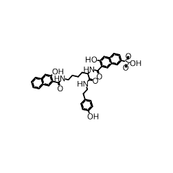 O=C(NCCCCC(NC(=O)c1cc2cc(S(=O)(=O)O)ccc2cc1O)C(=O)NCCc1ccc(O)cc1)c1cc2ccccc2cc1O